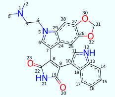 CN(C)CCn1cc(C2=C(c3c[nH]c4ccccc34)C(=O)NC2=O)c2cc3c(cc21)OCO3